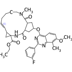 CCOC(=O)C12CC1/C=C/CCCCN(C)C(=O)C1CC(Oc3nc(-c4cccc(F)c4)nc4c(C)c(OC)ccc34)CC1C(=O)N2